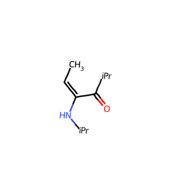 CC=C(NC(C)C)C(=O)C(C)C